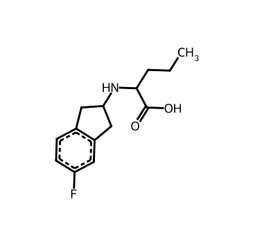 CCCC(NC1Cc2ccc(F)cc2C1)C(=O)O